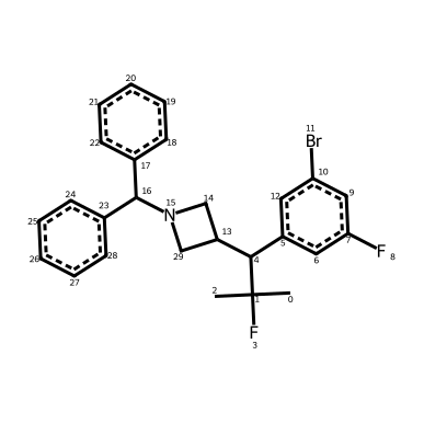 CC(C)(F)C(c1cc(F)cc(Br)c1)C1CN(C(c2ccccc2)c2ccccc2)C1